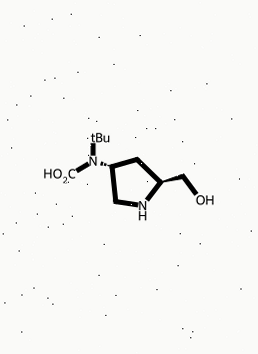 CC(C)(C)N(C(=O)O)[C@H]1CN[C@H](CO)C1